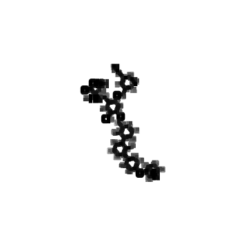 Cc1c(COc2cc(OCc3cncc(C#N)c3)c(CN[C@](C)(CO)C(=O)O)cc2Cl)cccc1-c1cccc(-c2ccc(OC3CN4CCC3CC4)cc2)c1C